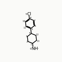 [NH]C1CCC(c2ccc(Cl)cc2)CC1